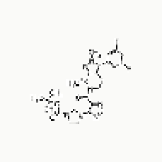 C[C@H]1c2nn(C)c(-c3cc(F)cc(F)c3)c2CCN1C(=O)c1ncnn1[C@H]1CCN(C(=O)OC(C)(C)C)C1